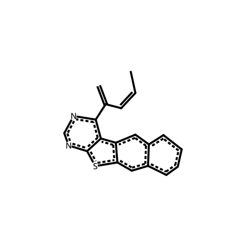 C=C(/C=C\C)c1ncnc2sc3cc4ccccc4cc3c12